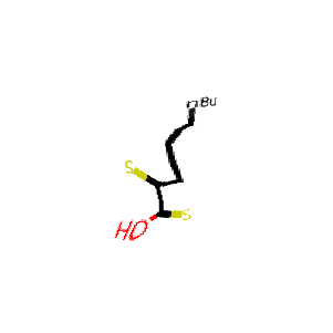 CCCCCCCC(=S)C(O)=S